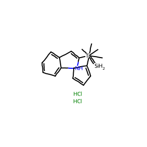 Cl.Cl.[CH3][Ti]([CH3])([CH3])([CH3])(=[SiH2])([C]1=CC=CC1)[c]1cc2ccccc2[nH]1